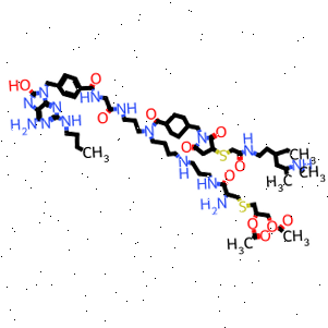 CCCCNc1nc(N)c2nc(O)n(Cc3ccc(C(=O)NCC(=O)NCCCN(CCCCNCCCNC(=O)C(N)CSCC(COC(C)=O)OC(C)=O)C(=O)C4CCC(CN5C(=O)CC(SCC(=O)NCCC(CC)CC(C)NC)C5=O)CC4)cc3)c2n1